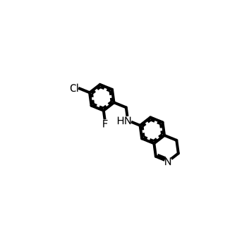 Fc1cc(Cl)ccc1CNc1ccc2c(c1)C=NCC2